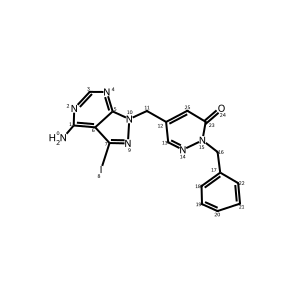 Nc1ncnc2c1c(I)nn2Cc1cnn(Cc2ccccc2)c(=O)c1